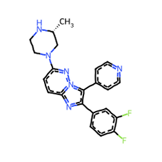 C[C@@H]1CN(c2ccc3nc(-c4ccc(F)c(F)c4)c(-c4ccncc4)n3n2)CCN1